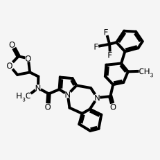 Cc1cc(C(=O)N2Cc3ccc(C(=O)N(C)CC4COC(=O)O4)n3Cc3ccccc32)ccc1-c1ccccc1C(F)(F)F